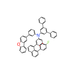 Fc1ccc(-c2cccc3cccc(-c4cccc(N(c5cccc(-c6ccc7oc8ccccc8c7c6)c5)c5cc(-c6ccccc6)cc(-c6ccccc6)c5)c4)c23)cc1